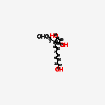 O=CCC[C@H]1[C@H](C=CCCCCCCO)[C@H](O)C[C@H]1O